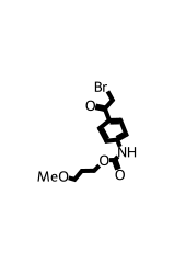 COCCCOC(=O)Nc1ccc(C(=O)CBr)cc1